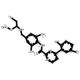 Cc1cc(CNC(CF)OC=O)cc(C)c1NC(=O)c1nccc(-c2cc(Cl)ccc2Cl)n1